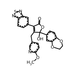 COc1ccc(CC2=C(c3ccc4nsnc4c3)C(=O)OC2(O)c2ccc3c(c2)OCCO3)cn1